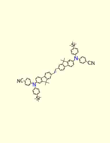 CC1(C)c2cc(/C=C/c3ccc4c(c3)C(C)(C)c3cc(N(c5ccc(C#N)cc5)c5ccc([Si](C)(C)C)cc5)ccc3-4)ccc2-c2ccc(N(c3ccc(C#N)cc3)c3ccc([Si](C)(C)C)cc3)cc21